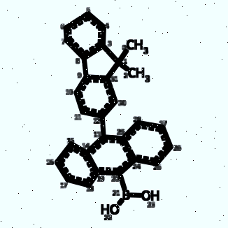 CC1(C)c2ccccc2-c2ccc(-c3c4ccccc4c(B(O)O)c4ccccc34)cc21